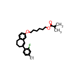 C=C(C)C(=O)OCCCCCCOc1ccc2c(c1)C=C(c1ccc(CC)cc1F)CCC2